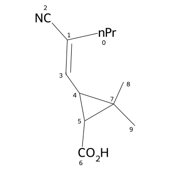 CCC/C(C#N)=C\C1C(C(=O)O)C1(C)C